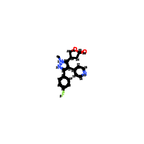 Cn1nc(-c2ccc(F)cc2)c(-c2ccncc2)c1C1COC(=O)C1